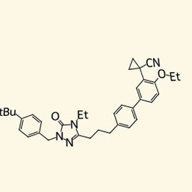 CCOc1ccc(-c2ccc(CCCc3nn(Cc4ccc(C(C)(C)C)cc4)c(=O)n3CC)cc2)cc1C1(C#N)CC1